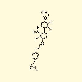 CCCc1ccc(CCCOc2ccc(-c3ccc(OCC)c(F)c3F)c(C(F)F)c2F)cc1